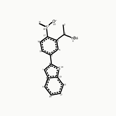 [CH2]CCCC(C)c1cc(-c2cc3ccccc3s2)ccc1[S+](C)[O-]